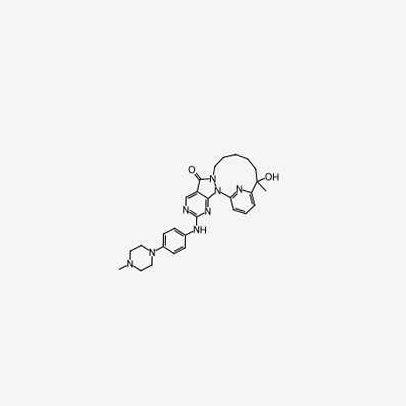 CN1CCN(c2ccc(Nc3ncc4c(=O)n5n(c4n3)-c3cccc(n3)C(C)(O)CCCCC5)cc2)CC1